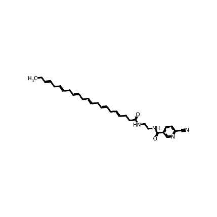 CCC=CCC=CCC=CCC=CCC=CCC=CCCC(=O)NCCNC(=O)c1ccc(C#N)nc1